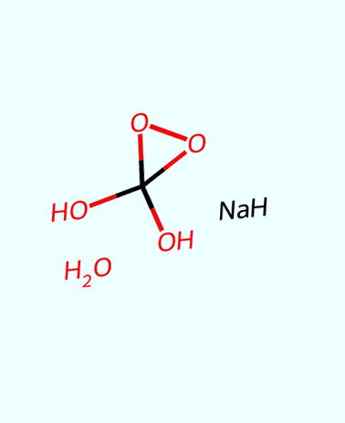 O.OC1(O)OO1.[NaH]